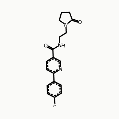 O=C(NCCN1CCCC1=O)c1ccc(-c2ccc(F)cc2)nc1